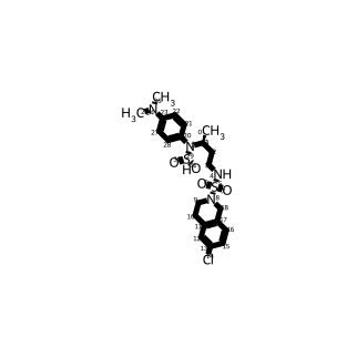 C[C@@H](CCNS(=O)(=O)N1CCc2cc(Cl)ccc2C1)N(c1ccc(N(C)C)cc1)[SH](=O)=O